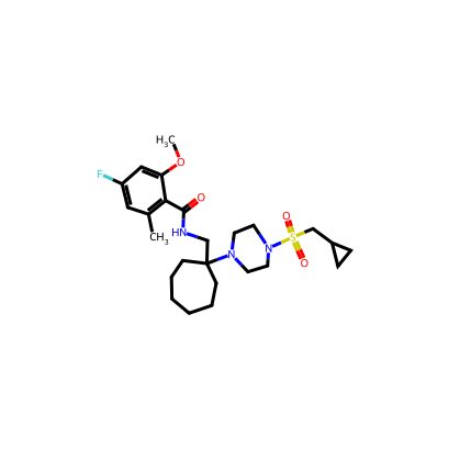 COc1cc(F)cc(C)c1C(=O)NCC1(N2CCN(S(=O)(=O)CC3CC3)CC2)CCCCCC1